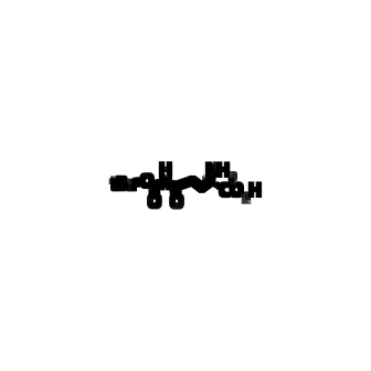 CC(C)(C)OC(=O)NC(=O)CC[C@H](N)C(=O)O